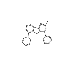 Cc1cc(-c2ccccc2)c2c(c1)-c1cccc(C3C=CC=CC3)c1C2